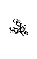 CC1=C[C@H]2C(=O)NC[C@H]2[C@@H](c2ccc(CI)cc2)[C@H]1C1C=CC(Cl)=CC1